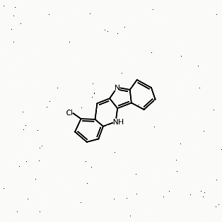 Clc1cccc2[nH]c3c4ccccc4nc-3cc12